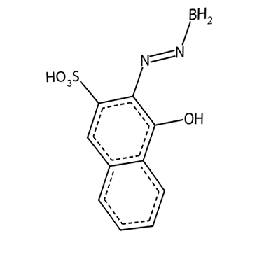 BN=Nc1c(S(=O)(=O)O)cc2ccccc2c1O